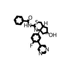 O=C(NC1=N[C@@]2(c3ccc(F)c(-c4cncnc4)c3)C[C@H](O)C[C@H]2CS1)c1ccccc1